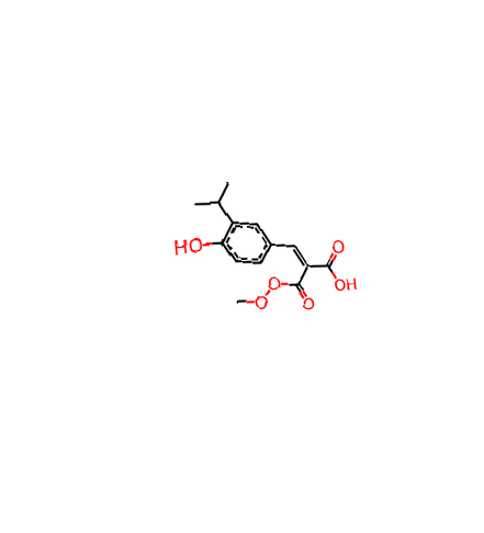 COOC(=O)C(=Cc1ccc(O)c(C(C)C)c1)C(=O)O